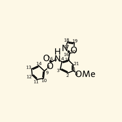 COc1ccc(NC(=O)Oc2ccccc2)c(-c2ncco2)c1